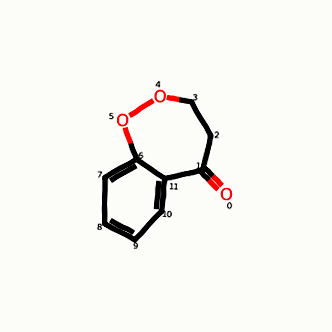 O=C1CCOOc2ccccc21